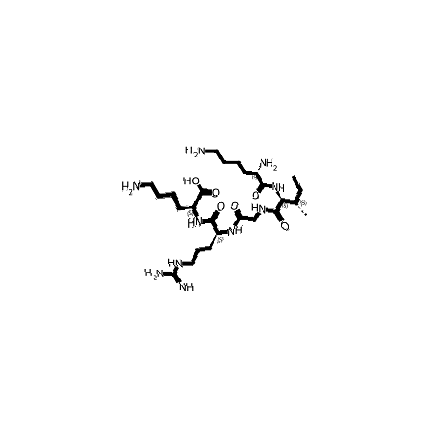 CC[C@H](C)[C@H](NC(=O)[C@@H](N)CCCCN)C(=O)NCC(=O)N[C@@H](CCCNC(=N)N)C(=O)N[C@@H](CCCCN)C(=O)O